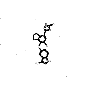 Cc1c[nH]c2ccc(Oc3c(Cl)cc(-c4n[nH]c(=O)[nH]4)c4c3CCC4)cc12